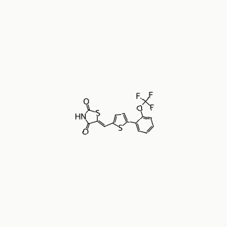 O=C1NC(=O)/C(=C/c2ccc(-c3ccccc3OC(F)(F)F)s2)S1